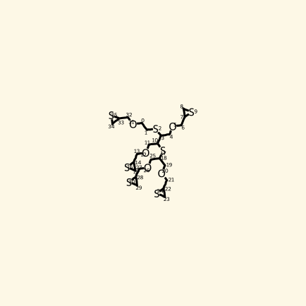 C(CSC(COCC1CS1)C(COCC1CS1)SC(COCC1CS1)COCC1CS1)OCC1CS1